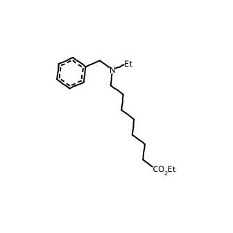 CCOC(=O)CCCCCCCN(CC)Cc1ccccc1